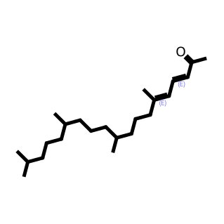 CC(=O)/C=C/C=C(\C)CCCC(C)CCCC(C)CCCC(C)C